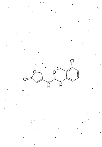 O=C(NC1=CC(=O)OC1)Nc1cccc(Cl)c1Cl